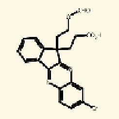 O=COCCC1(CCC(=O)O)c2ccccc2-c2nc3ccc(Br)cc3nc21